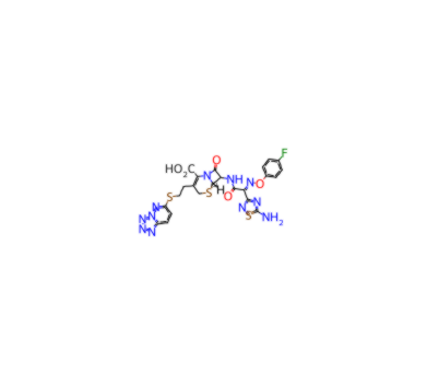 Nc1nc(C(=NOc2ccc(F)cc2)C(=O)NC2C(=O)N3C(C(=O)O)=C(CCSc4ccc5nnnn5n4)CS[C@@H]23)ns1